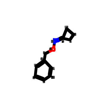 [CH]1CC(=NOCc2ccccc2)C1